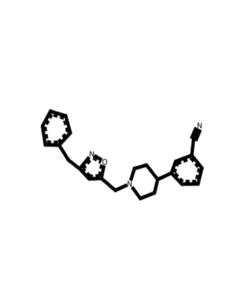 N#Cc1cccc(C2CCN(Cc3cc(Cc4ccccc4)no3)CC2)c1